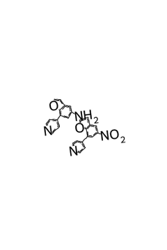 Nc1cc(-c2ccncc2)c2occc2c1.O=[N+]([O-])c1cc(-c2ccncc2)c2occc2c1